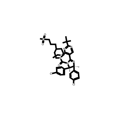 CCOc1nc(C(C)(C)C)ncc1C1=N[C@@](C)(c2ccc(Cl)cc2)[C@@](C)(c2ccc(Cl)cc2)N1C(=O)N1CCC(CCCS(C)(=O)=O)CC1